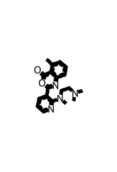 Cc1cccc2nc(-c3cccnc3N(C)CCN(C)C)oc(=O)c12